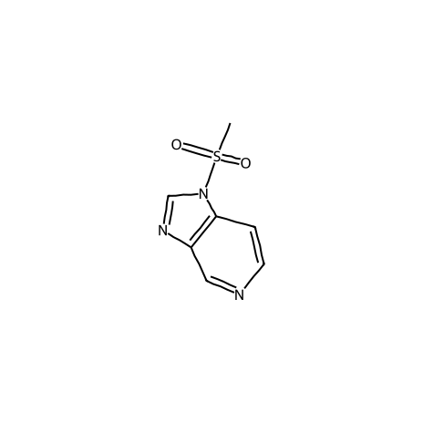 CS(=O)(=O)n1cnc2cnccc21